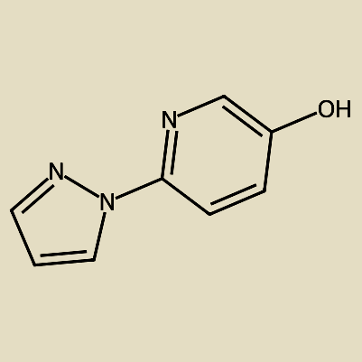 Oc1ccc(-n2cccn2)nc1